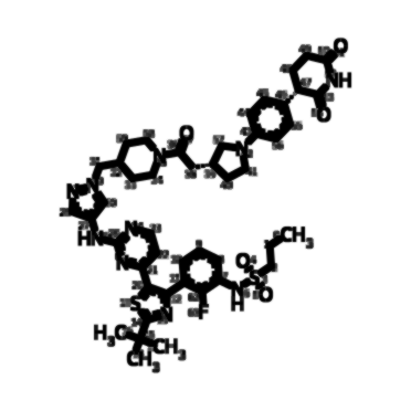 CCCS(=O)(=O)Nc1cccc(-c2nc(C(C)(C)C)sc2-c2ccnc(Nc3cnn(CC4CCN(C(=O)C[C@H]5CCN(c6ccc([C@@H]7CCC(=O)NC7=O)cc6)C5)CC4)c3)n2)c1F